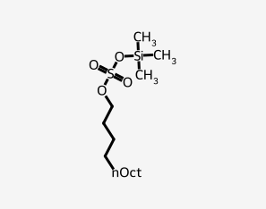 CCCCCCCCCCCCOS(=O)(=O)O[Si](C)(C)C